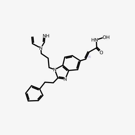 C=CN(C=N)CCCn1c(CCc2ccccc2)nc2cc(/C=C/C(=O)NO)ccc21